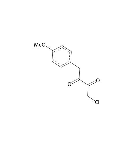 COc1ccc(CC(=O)C(=O)CCl)cc1